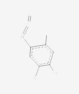 Nc1cc(N=C=S)c(Br)cc1Br